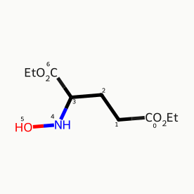 CCOC(=O)CCC(NO)C(=O)OCC